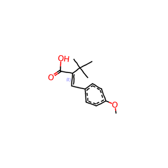 COc1ccc(/C=C(/C(=O)O)C(C)(C)C)cc1